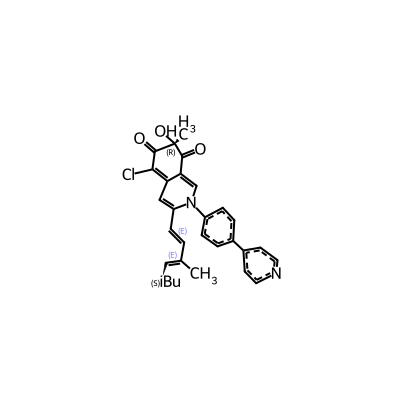 CC[C@H](C)/C=C(C)/C=C/C1=CC2=C(Cl)C(=O)[C@](C)(O)C(=O)C2=CN1c1ccc(-c2ccncc2)cc1